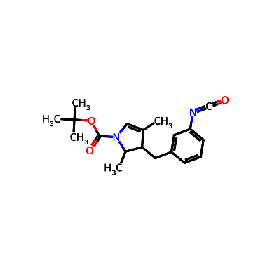 CC1=CN(C(=O)OC(C)(C)C)C(C)C1Cc1cccc(N=C=O)c1